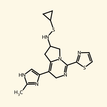 Cc1nc(C2=C3CC(NSC4CC4)CN3C(c3nccs3)=NC2)c[nH]1